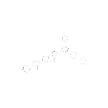 c1ccc(-c2ccc(-c3nc(-c4ccccc4)nc(-c4ccc5c(ccc6cc(-c7ccc(-c8ccncc8)nc7)ccc65)c4)n3)cc2)cc1